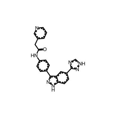 O=C(Cc1cccnc1)Nc1ccc(-c2n[nH]c3ccc(-c4nc[nH]n4)cc23)cc1